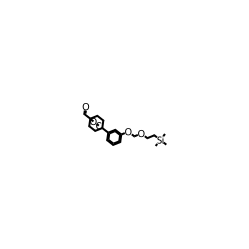 C[Si](C)(C)CCOCOc1cccc(C23CCC(C=O)(CC2)OC3)c1